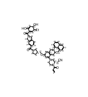 C=CC(=O)N1CCN(c2nc(OC[C@@H]3CCN(C(=O)c4ccc5c(c4)CN(C(=O)C4=CC(CC)C(O)C=C4O)C5)C3)nc3c2CCN(c2cccc4cccc(Cl)c24)C3)C[C@@H]1CC#N